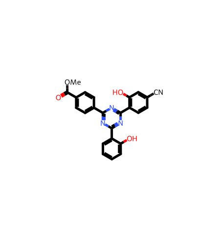 COC(=O)c1ccc(-c2nc(-c3ccccc3O)nc(-c3ccc(C#N)cc3O)n2)cc1